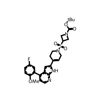 COc1ccc(F)cc1-c1ccnc2[nH]c(C3=CCN(S(=O)(=O)C4CN(C(=O)OC(C)(C)C)C4)CC3)cc12